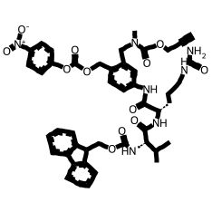 C#CCOC(=O)N(C)Cc1cc(NC(=O)[C@H](CCCNC(N)=O)NC(=O)[C@@H](NC(=O)OCC2c3ccccc3-c3ccccc32)C(C)C)ccc1COC(=O)Oc1ccc([N+](=O)[O-])cc1